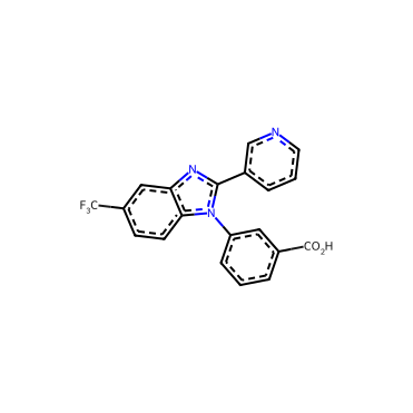 O=C(O)c1cccc(-n2c(-c3cccnc3)nc3cc(C(F)(F)F)ccc32)c1